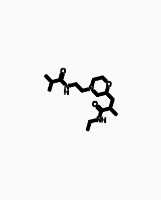 CCNC(=O)C(C)CC1CN(CCNC(=O)C(C)C)CCO1